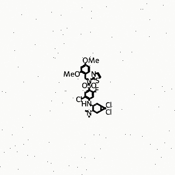 COc1ccc(CN(c2nccs2)S(=O)(=O)c2cc(Cl)c(N[C@H]3CC4C(C[C@@H]3N(C)C)C4(Cl)Cl)cc2F)c(OC)c1